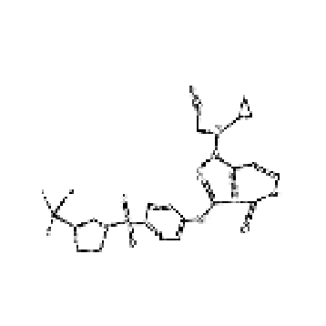 N#CC[C@@H](C1CC1)n1nc(Nc2ccc(S(=O)(=O)N3CCC(C(F)(F)F)C3)cc2)c2c(=O)[nH]ccc21